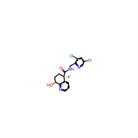 O=C(NCc1ncc(Cl)cc1Cl)[C@]1(F)CC[C@H](O)c2ncccc21